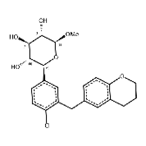 CO[C@H]1O[C@@H](c2ccc(Cl)c(Cc3ccc4c(c3)CCCO4)c2)[C@H](O)[C@@H](O)[C@@H]1O